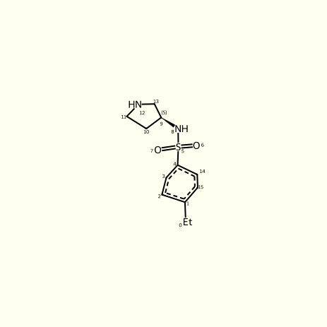 CCc1ccc(S(=O)(=O)N[C@H]2CCNC2)cc1